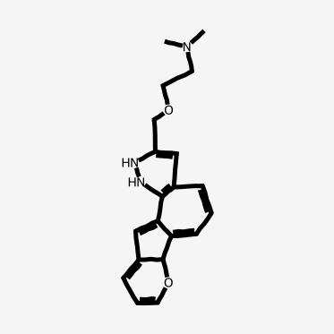 CN(C)CCOCC1=CC2=C(NN1)C1=CC3=CC=COC3C1=CC=C2